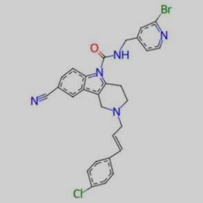 N#Cc1ccc2c(c1)c1c(n2C(=O)NCc2ccnc(Br)c2)CCN(CC=Cc2ccc(Cl)cc2)C1